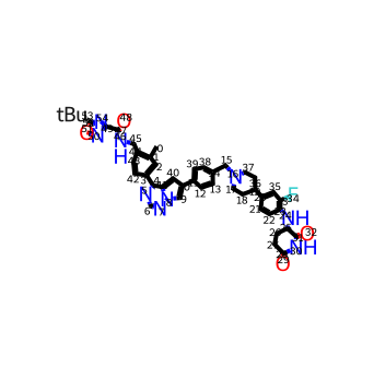 Cc1cc(-c2ncnn3cc(-c4ccc(CN5CCC(c6ccc(NC7CCC(=O)NC7=O)c(F)c6)CC5)cc4)cc23)ccc1CNC(=O)c1noc(C(C)(C)C)n1